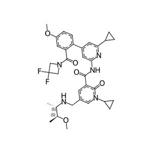 COc1ccc(-c2cc(NC(=O)c3cc(CN[C@@H](C)[C@H](C)OC)cn(C4CC4)c3=O)nc(C3CC3)c2)c(C(=O)N2CC(F)(F)C2)c1